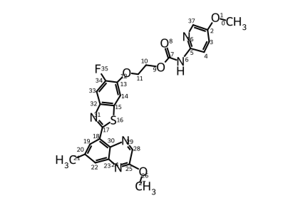 COc1ccc(NC(=O)OCCOc2cc3sc(-c4cc(C)cc5nc(OC)cnc45)nc3cc2F)nc1